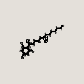 CCCCCCC[PH](=O)CCCCC(=O)c1c(C)cc(C)cc1C